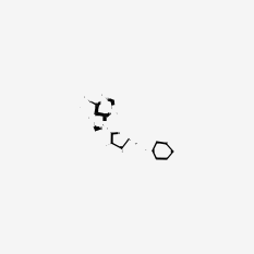 Nc1ncnc2c1ncn2[C@@H]1O[C@H](CO[C@@H]2CCC[C@@H](O)C2)[C@@H](O)[C@H]1O